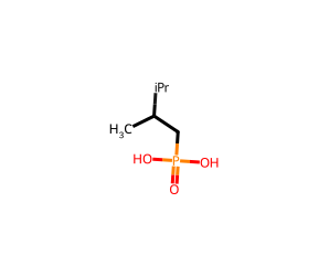 CC(C)C(C)CP(=O)(O)O